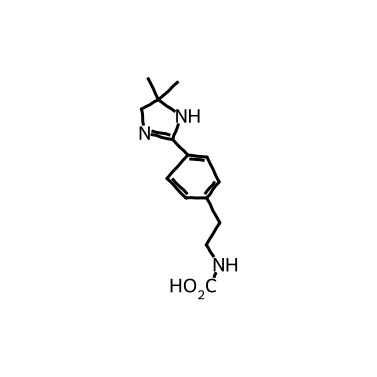 CC1(C)CN=C(c2ccc(CCNC(=O)O)cc2)N1